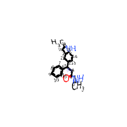 CNC(=O)/C=C(\c1ccccc1)c1ccc2[nH]c(C)cc2c1